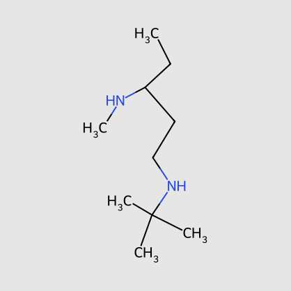 CCC(CCNC(C)(C)C)NC